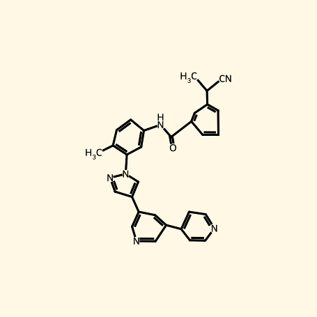 Cc1ccc(NC(=O)c2cccc(C(C)C#N)c2)cc1-n1cc(-c2cncc(-c3ccncc3)c2)cn1